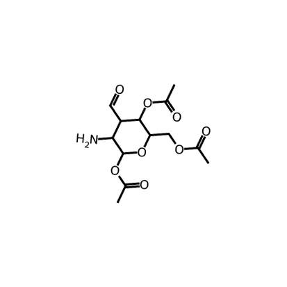 CC(=O)OCC1OC(OC(C)=O)C(N)C(C=O)C1OC(C)=O